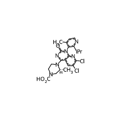 Cc1ccnc(C(C)C)c1-n1c(=O)nc(N2CCN(C(=O)O)C[C@H]2C)c2cc(Cl)c(Cl)nc21